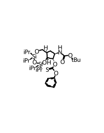 CC(C)[Si]1(C(C)C)OC[C@H]2C[C@@H](NC(=O)OC(C)(C)C)[C@H](OC(=S)Oc3ccccc3)[C@@H]2O[Si](C(C)C)(C(C)C)O1